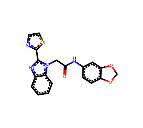 O=C(Cn1c(-c2nccs2)nc2ccccc21)Nc1ccc2c(c1)OCO2